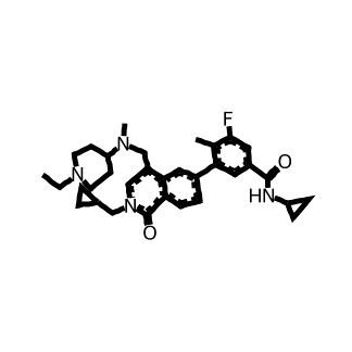 CCN1CCC(N(C)Cc2cn(CC3CC3)c(=O)c3ccc(-c4cc(C(=O)NC5CC5)cc(F)c4C)cc23)CC1